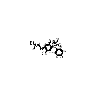 CCN(C)C=Nc1cc(C)c(N(c2ccccc2)S(C)(=O)=O)cc1Cl